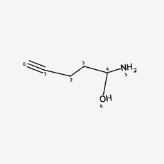 C#CCCC(N)O